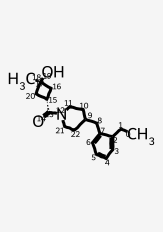 CCc1ccccc1CC1CCN(C(=O)[C@H]2C[C@@](C)(O)C2)CC1